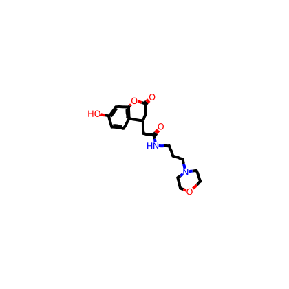 O=C(CC1CC(=O)Oc2cc(O)ccc21)NCCCN1CCOCC1